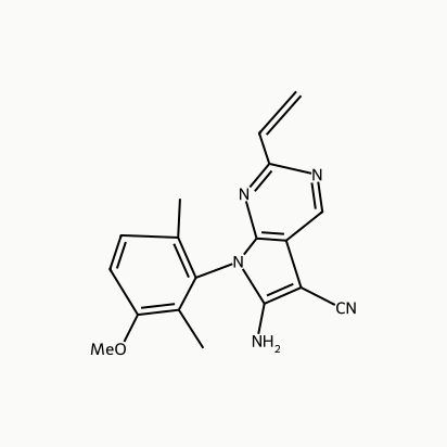 C=Cc1ncc2c(C#N)c(N)n(-c3c(C)ccc(OC)c3C)c2n1